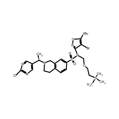 C[C@H](c1cnc(Cl)nc1)N1CCc2ccc(S(=O)(=O)N(COCC[Si](C)(C)C)c3noc(C(C)(C)C)c3Br)cc2C1